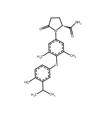 Cc1cc(N2C(=O)CC[C@H]2C(N)=O)cc(C)c1Oc1ccc(O)c(C(C)C)c1